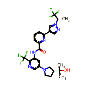 C[C@H](n1cc(-c2cccc(C(=O)Nc3cc(N4CC[C@@H](C(C)(C)O)C4)cnc3C(F)(F)F)n2)cn1)C(F)(F)F